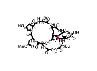 CC[C@H](C)[C@@H]1NC(=O)CNC(=O)[C@@H]2Cc3c([nH]c4cc(OP(=O)(O)O)c(N)cc34)SC[C@H](NC(=O)CNC1=O)C(=O)N[C@@H](CC(=O)OC)C(=O)N1C[C@H](O)C[C@H]1C(=O)N[C@@H]([C@@H](C)CC)C(=O)N2